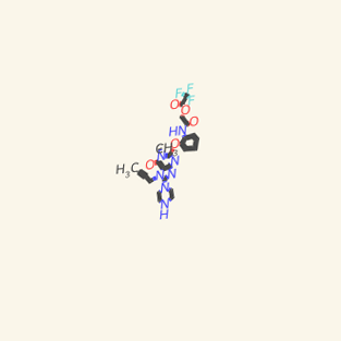 CC#CCn1c(N2CCNCC2)nc2nc(Oc3ccccc3NC(=O)COC(=O)C(F)(F)F)n(C)c(=O)c21